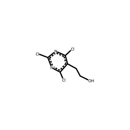 OCCc1c(Cl)nc(Cl)nc1Cl